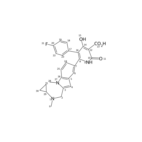 CN(Cc1cc2cc(-c3[nH]c(=O)c(C(=O)O)c(O)c3-c3ccc(F)cc3)ccc2n1C)C1CC1